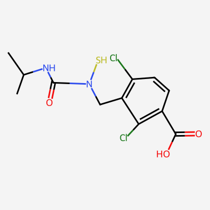 CC(C)NC(=O)N(S)Cc1c(Cl)ccc(C(=O)O)c1Cl